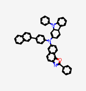 C1=CC2c3ccccc3N(c3ccccc3)C2C=C1N(c1ccc(-c2ccc3ccccc3c2)cc1)c1ccc2c(ccc3nc(-c4ccccc4)oc32)c1